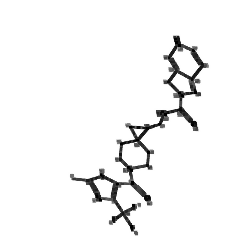 Cc1nc(C(F)(F)F)c(C(=O)N2CCC3(CC2)CC3CNC(=O)N2C=C3C=CNC=C3C2)s1